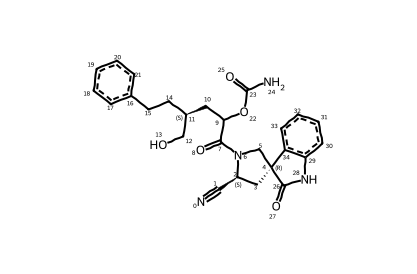 N#C[C@@H]1C[C@@]2(CN1C(=O)C(C[C@@H](CO)CCc1ccccc1)OC(N)=O)C(=O)Nc1ccccc12